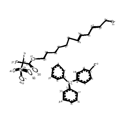 Fc1ccc([S+](c2ccccc2)c2ccccc2)cc1.O=C(OCCCCCCCCCCCCBr)C(F)(F)S(=O)(=O)[O-]